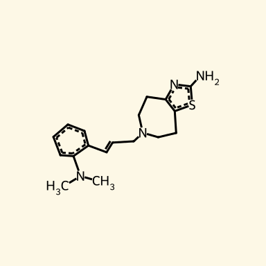 CN(C)c1ccccc1/C=C/CN1CCc2nc(N)sc2CC1